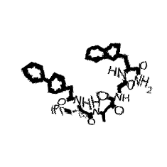 CC(C)C[C@H](NC(=O)Cc1ccc(-c2ccccc2)cc1)C(=O)NC(C)C(=O)C(=O)NCC(=O)NC(Cc1ccc2ccccc2c1)C(N)=O